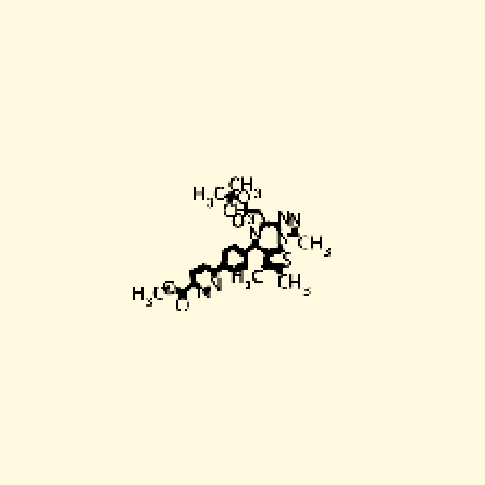 COC(=O)c1ccc(-c2ccc(C3=N[C@@H](CC(=O)OC(C)(C)C)c4nnc(C)n4-c4sc(C)c(C)c43)cc2)nn1